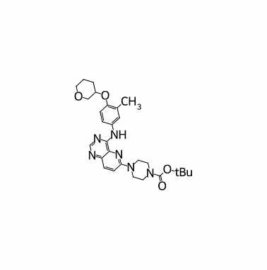 Cc1cc(Nc2ncnc3ccc(N4CCN(C(=O)OC(C)(C)C)CC4)nc23)ccc1OC1CCCOC1